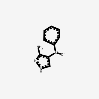 Nc1n[nH]cc1[S+]([O-])c1ccccc1